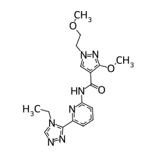 CCn1cnnc1-c1cccc(NC(=O)c2cn(CCOC)nc2OC)n1